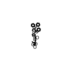 Cc1oc(=O)oc1COC(=O)N1CCC(N2CC[C@@H]([PH](c3ccccc3)(c3ccccc3)c3ccccc3)C2=O)C1